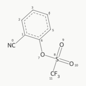 N#Cc1cc[c]cc1OS(=O)(=O)C(F)(F)F